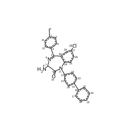 Cc1ccc(C2=NC(N)C(=O)N(c3ccc(-c4ccccc4)cc3)c3ccc(Cl)cc32)cc1